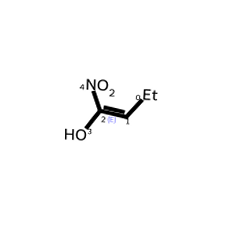 CC/C=C(/O)[N+](=O)[O-]